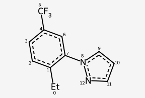 CCc1ccc(C(F)(F)F)cc1-n1cccn1